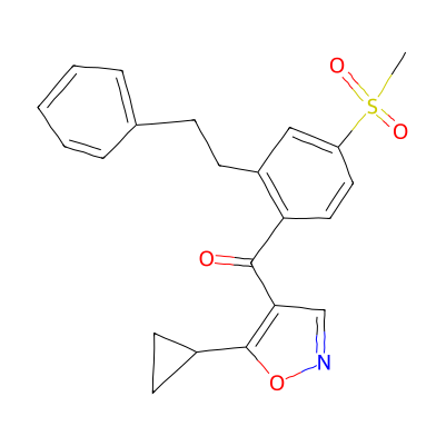 CS(=O)(=O)c1ccc(C(=O)c2cnoc2C2CC2)c(CCc2ccccc2)c1